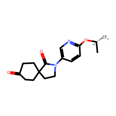 C[C@H](Oc1ccc(N2CCC3(CCC(=O)CC3)C2=O)cn1)C(F)(F)F